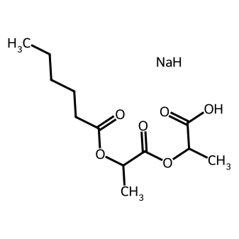 CCCCCC(=O)OC(C)C(=O)OC(C)C(=O)O.[NaH]